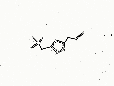 CS(=O)(=O)Cc1nnc(C[C]=S)s1